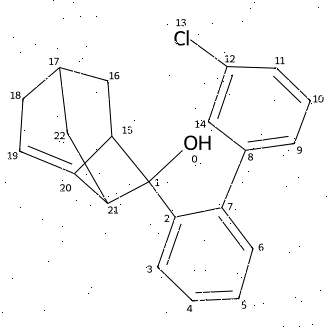 OC1(c2ccccc2-c2cccc(Cl)c2)C2CC3CC=C2C1C3